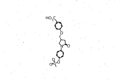 CS(=O)(=O)Oc1ccc(N2CC(COc3ccc(C(=O)O)cc3)CC2=O)cc1